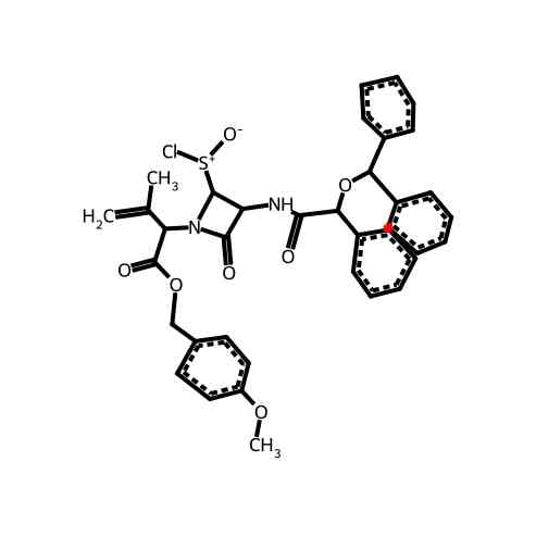 C=C(C)C(C(=O)OCc1ccc(OC)cc1)N1C(=O)C(NC(=O)C(OC(c2ccccc2)c2ccccc2)c2ccccc2)C1[S+]([O-])Cl